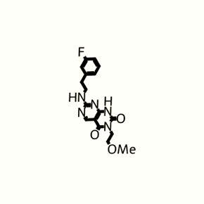 COCCn1c(=O)[nH]c2nc(NCCc3cccc(F)c3)ncc2c1=O